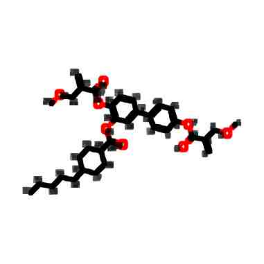 C=C(COC)C(=O)Oc1ccc(-c2ccc(OC(=O)C(=C)COC)c(OC(=O)C3CCC(CCCCC)CC3)c2)cc1